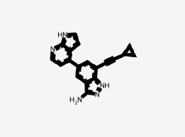 Nc1n[nH]c2c(C#CC3CC3)cc(-c3ccnc4[nH]ccc34)cc12